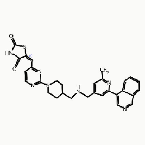 O=C1NC(=O)/C(=C\c2ccnc(N3CCC(CNCc4cc(-c5cncc6ccccc56)nc(C(F)(F)F)c4)CC3)n2)S1